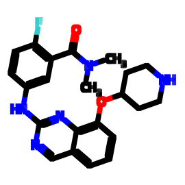 CN(C)C(=O)c1cc(Nc2ncc3cccc(OC4CCNCC4)c3n2)ccc1F